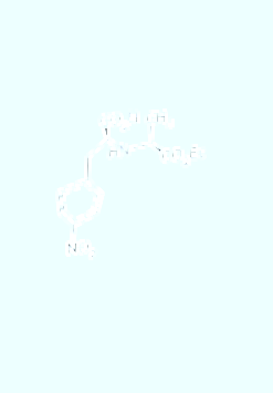 CCOC(=O)[C@H](C)N[C@@H](Cc1ccc([N+](=O)[O-])cc1)C(=O)O